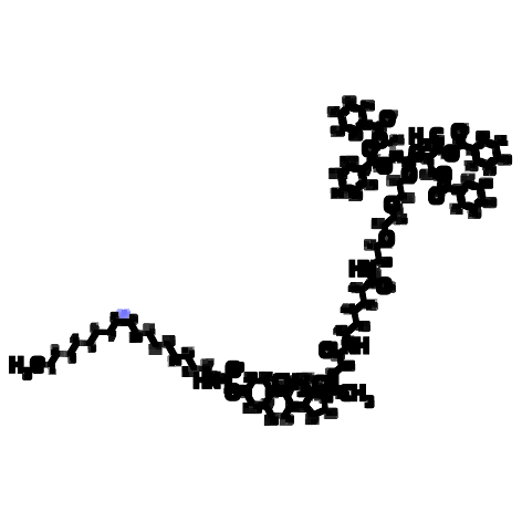 CCCCCCCC/C=C\CCCCCCCCNC(=O)O[C@@H]1CC[C@@]2(C)C(CCC3C4CCC(C(C)CCC(=O)NCCCCCC(=O)NCCOCCOCCO[C@@H](OC(COC(=O)c5ccccc5)[C@H](C)OC(=O)c5ccccc5)[C@@H](COC(=O)c5ccccc5)OC(=O)c5ccccc5)[C@@]4(C)CCC32)C1